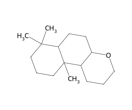 CC1(C)CCCC2(C)C3CCCOC3CCC12